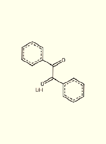 O=C(C(=O)c1ccccc1)c1ccccc1.[LiH]